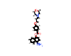 Nc1ccc(OC(=O)c2ccc(OCCCN3CCOCC3)cc2)c2ccccc12